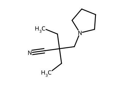 CCC(C#N)(CC)CN1CCCC1